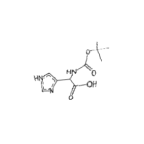 CC(C)(C)OC(=O)NC(C(=O)O)c1c[nH]cn1